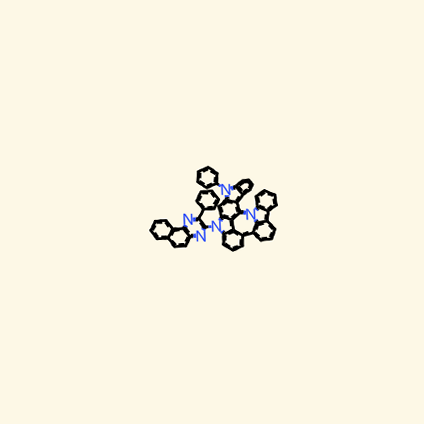 c1ccc(-c2nc3c(ccc4ccccc43)nc2-n2c3cccc4c5cccc6c7ccccc7n(c56)c5c6c7ccccc7n(-c7ccccc7)c6cc2c5c43)cc1